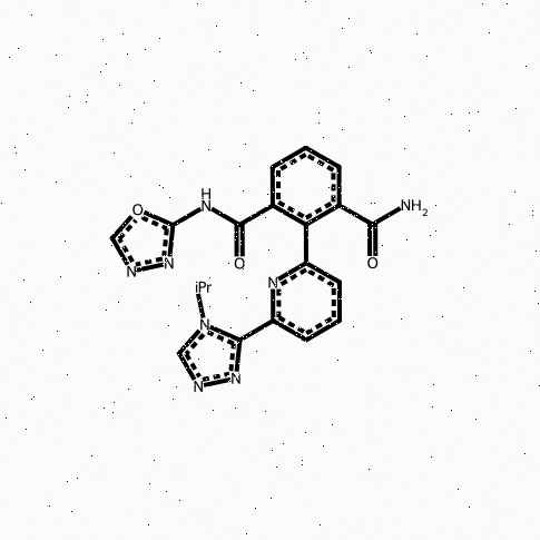 CC(C)n1cnnc1-c1cccc(-c2c(C(N)=O)cccc2C(=O)Nc2nnco2)n1